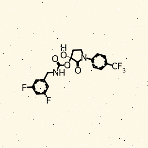 O=C(NCc1cc(F)cc(F)c1)O[C@@]1(O)CCN(c2ccc(C(F)(F)F)cc2)C1=O